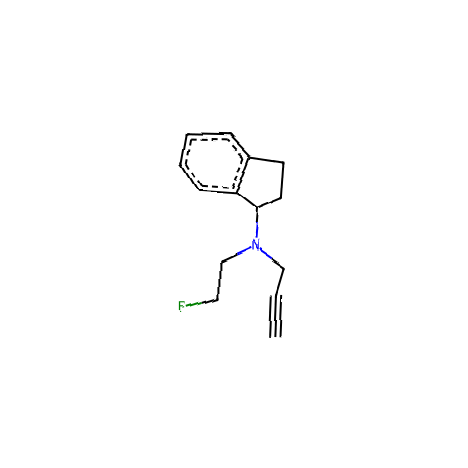 C#CCN(CCF)C1CCc2ccccc21